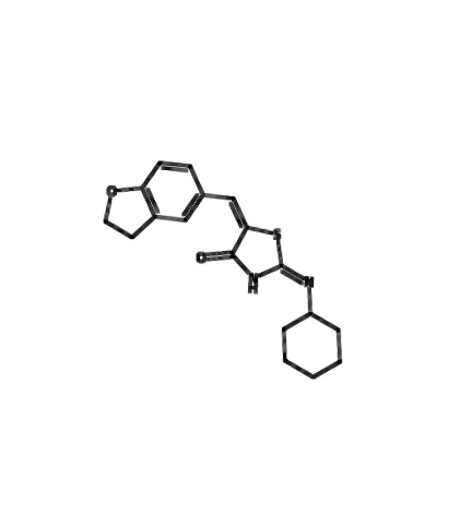 O=C1NC(=NC2CCCCC2)SC1=Cc1ccc2c(c1)CCO2